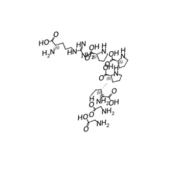 CC[C@H](C)[C@H](N)C(=O)O.N=C(N)NCCC[C@H](N)C(=O)O.NCC(=O)O.NCC(=O)O.O=C(O)[C@@H]1CCCN1.O=C(O)[C@@H]1CCCN1.O=C(O)[C@@H]1CCCN1